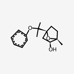 CC(C)(Oc1ccccc1)[C@@]12CC[C@@](C)(O1)[C@@H](O)C2